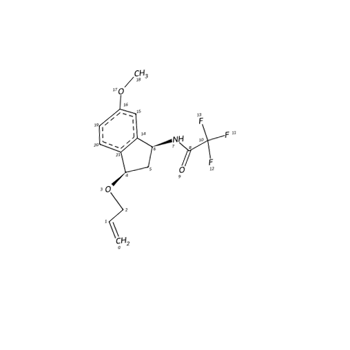 C=CCO[C@@H]1C[C@H](NC(=O)C(F)(F)F)c2cc(OC)ccc21